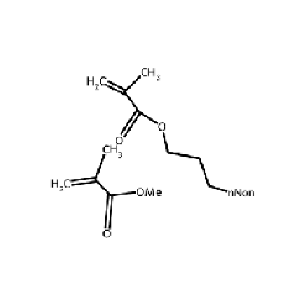 C=C(C)C(=O)OC.C=C(C)C(=O)OCCCCCCCCCCCC